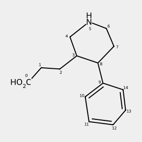 O=C(O)CCC1CNCCC1c1ccccc1